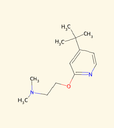 CN(C)CCOc1cc(C(C)(C)C)ccn1